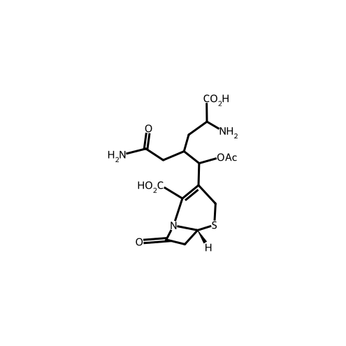 CC(=O)OC(C1=C(C(=O)O)N2C(=O)C[C@H]2SC1)C(CC(N)=O)CC(N)C(=O)O